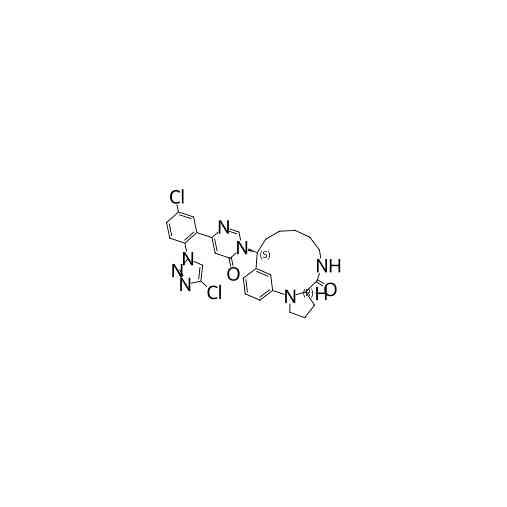 O=C1NCCCCC[C@H](n2cnc(-c3cc(Cl)ccc3-n3cc(Cl)nn3)cc2=O)c2cccc(c2)N2CCC[C@H]12